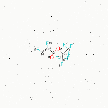 O=C(OC(C(F)(F)F)C(F)(F)F)C(F)=CF